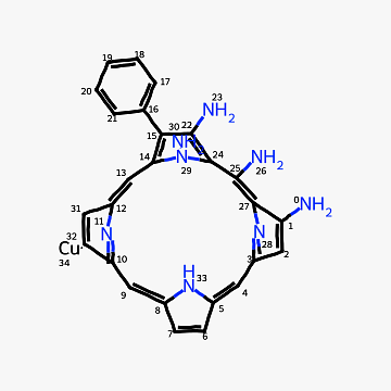 NC1=Cc2cc3ccc(cc4nc(cc5c(-c6ccccc6)c(N)c(c(N)c1n2)n5N)C=C4)[nH]3.[Cu]